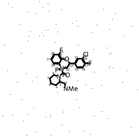 CNCC1CCCCN1C(=O)[N+]1(F)CC(c2ccc(F)c(Cl)c2)Oc2c(F)cccc21